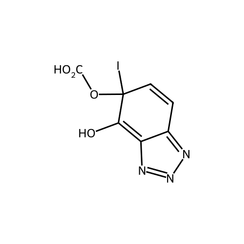 O=C(O)OC1(I)C=CC2=NN=NC2=C1O